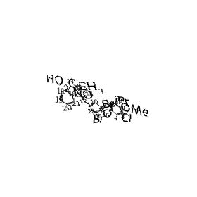 COc1c(Cl)cc(Oc2c(Br)cc(CC(=O)N(c3ccccc3)[C@@H](C)C(=O)O)cc2Br)cc1C(C)C